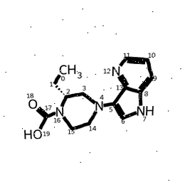 CC[C@@H]1CN(c2c[nH]c3cccnc23)CCN1C(=O)O